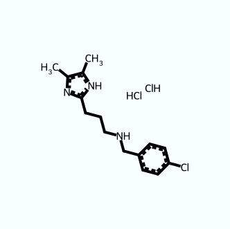 Cc1nc(CCCNCc2ccc(Cl)cc2)[nH]c1C.Cl.Cl